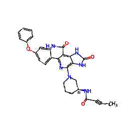 CC#CC(=O)N[C@H]1CCCN(c2nc(-c3ccc(Oc4ccccc4)cc3)c(C(N)=O)c3[nH]c(=O)[nH]c23)C1